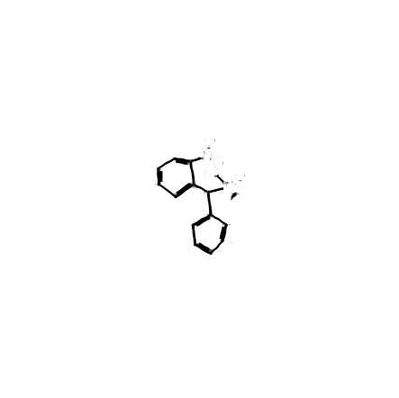 O=[N+]([O-])c1ccccc1C(c1ccccc1)S(=O)(=O)Cl